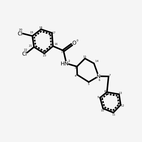 O=C(NC1CCN(Cc2ccccc2)CC1)c1ccc(Cl)c(Cl)c1